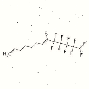 C=CCCCCC=C(F)C(F)(F)C(F)(F)C(F)(F)C(F)(F)C(F)F